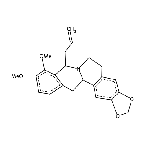 C=CCC1c2c(ccc(OC)c2OC)CC2c3cc4c(cc3CCN21)OCO4